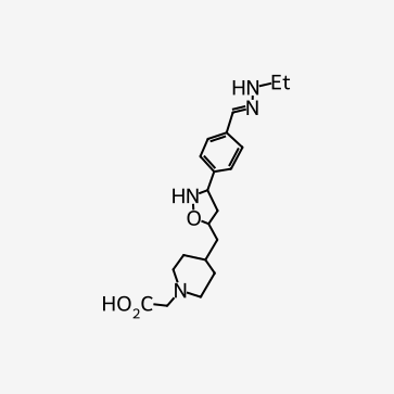 CCNN=Cc1ccc(C2CC(CC3CCN(CC(=O)O)CC3)ON2)cc1